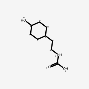 O=C(O)NCCC1CCC(O)CC1